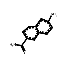 NC(=O)c1ccc2cc(N)ccc2c1